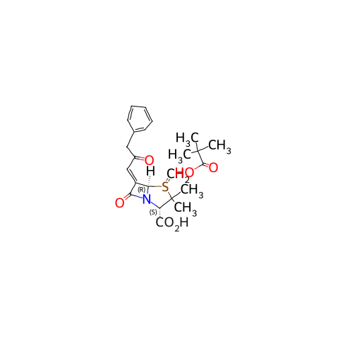 C=S1[C@@H]2C(=CC(=O)Cc3ccccc3)C(=O)N2[C@@H](C(=O)O)C1(C)C.CC(C)(C)C(=O)O